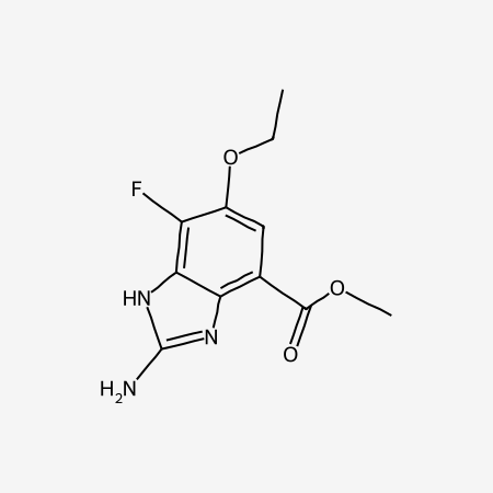 CCOc1cc(C(=O)OC)c2nc(N)[nH]c2c1F